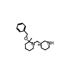 CC1(OCc2ccccc2)CCCCN1C[C@@H]1CCCNC1